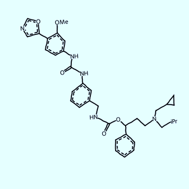 COc1cc(NC(=O)Nc2cccc(CNC(=O)OC(CCN(CC(C)C)CC3CC3)c3ccccc3)c2)ccc1-c1cnco1